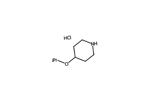 CC(C)OC1CCNCC1.Cl